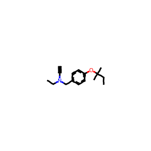 C#CN(CC)Cc1ccc(OC(C)(C)CC)cc1